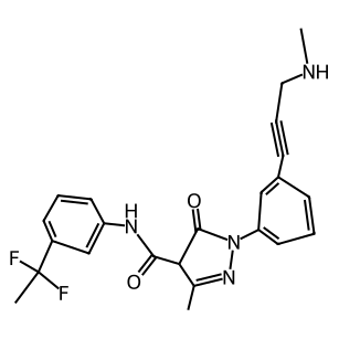 CNCC#Cc1cccc(N2N=C(C)C(C(=O)Nc3cccc(C(C)(F)F)c3)C2=O)c1